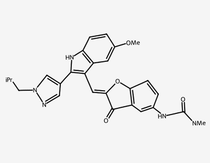 CNC(=O)Nc1ccc2c(c1)C(=O)/C(=C/c1c(-c3cnn(CC(C)C)c3)[nH]c3ccc(OC)cc13)O2